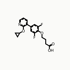 O=C(O)CCCOc1c(F)cc(-c2cccnc2OC2CC2)cc1F